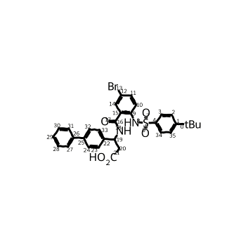 CC(C)(C)c1ccc(S(=O)(=O)Nc2ccc(Br)cc2C(=O)NC(CC(=O)O)c2ccc(-c3ccccc3)cc2)cc1